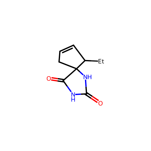 CCC1C=CCC12NC(=O)NC2=O